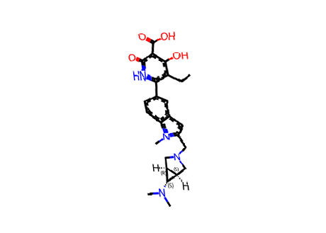 CCc1c(-c2ccc3c(c2)cc(CN2C[C@@H]4[C@H](C2)[C@H]4N(C)C)n3C)[nH]c(=O)c(C(=O)O)c1O